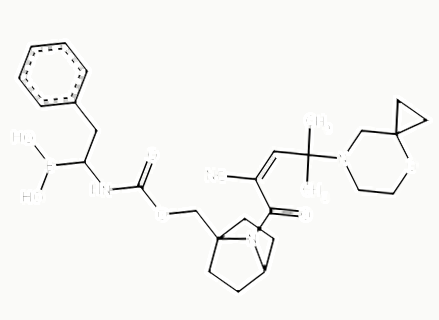 CC(C)(C=C(C#N)C(=O)N1C2CCC1(COC(=O)NC(Cc1ccccc1)B(O)O)CC2)N1CCOC2(CC2)C1